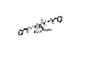 CN[C@@H](CN/C(=N\C(=O)OCOC(=O)Cc1ccccc1)NC(=O)OCOC(=O)Cc1ccccc1)C(=O)O